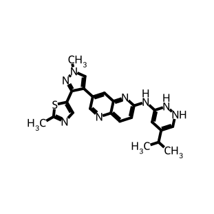 Cc1ncc(-c2nn(C)cc2-c2cnc3ccc(NC4=CC(C(C)C)=CNN4)nc3c2)s1